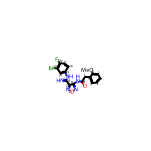 COc1ccccc1CC(=O)Nc1nonc1C(=N)Nc1ccc(F)c(Br)c1